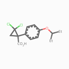 CCC(CC)Oc1ccc(C2(C(=O)O)CC2(Cl)Cl)cc1